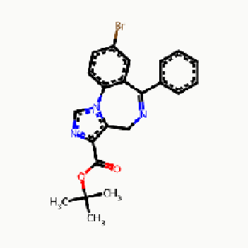 CC(C)(C)OC(=O)c1ncn2c1CN=C(c1ccccc1)c1cc(Br)ccc1-2